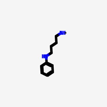 [NH]CCCCNc1ccccc1